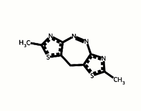 Cc1nc2c(s1)Cc1sc(C)nc1N=N2